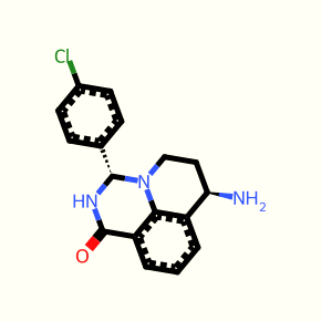 N[C@@H]1CCN2c3c(cccc31)C(=O)N[C@@H]2c1ccc(Cl)cc1